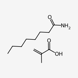 C=C(C)C(=O)O.CCCCCCCC(N)=O